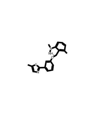 Cc1cnc(-c2cccc(OCc3c(C)cccc3N(C)N)c2)s1